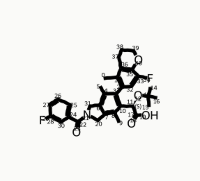 Cc1c(-c2c(C)c3c(c(C)c2[C@H](OC(C)(C)C)C(=O)O)CN(C(=O)c2cccc(F)c2)C3)cc(F)c2c1CCCO2